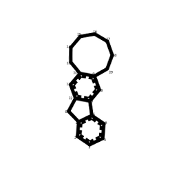 [CH]1c2ccccc2-c2cc3c(cc21)CCCCCCC3